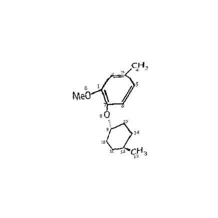 COc1cc(C)ccc1O[C@H]1CC[C@H](C)CC1